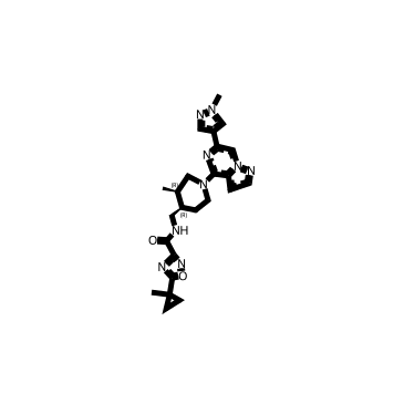 C[C@H]1CN(c2nc(-c3cnn(C)c3)cn3nccc23)CC[C@H]1CNC(=O)c1noc(C2(C)CC2)n1